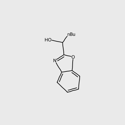 CCCCC(O)c1nc2ccccc2o1